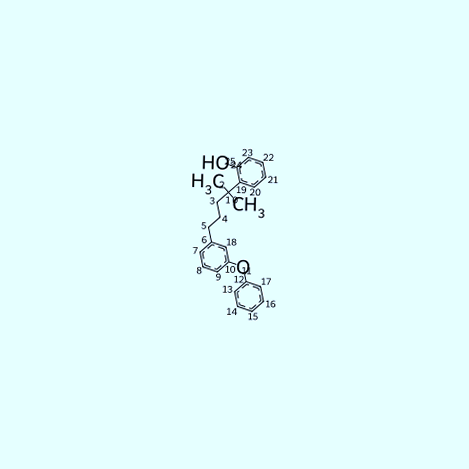 CC(C)(CCCc1cccc(Oc2ccccc2)c1)c1ccccc1O